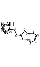 c1ccc2c(c1)CC(CCc1nnn[nH]1)C2